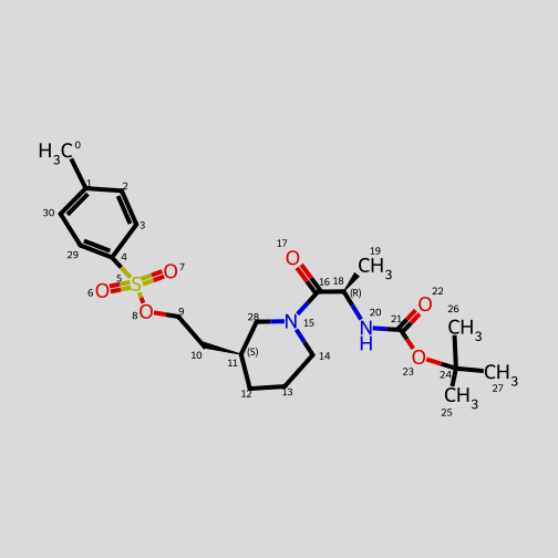 Cc1ccc(S(=O)(=O)OCC[C@@H]2CCCN(C(=O)[C@@H](C)NC(=O)OC(C)(C)C)C2)cc1